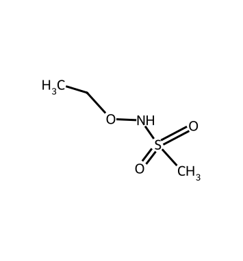 CCONS(C)(=O)=O